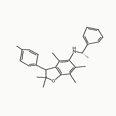 Cc1ccc(C2c3c(C)c(N[C@@H](C)c4ccccc4)c(C)c(C)c3OC2(C)C)cc1